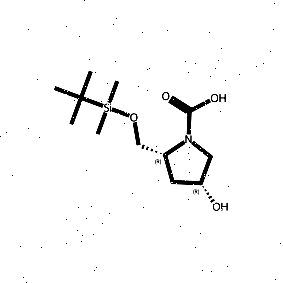 CC(C)(C)[Si](C)(C)OC[C@H]1C[C@@H](O)CN1C(=O)O